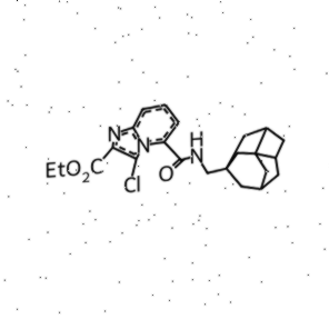 CCOC(=O)c1nc2cccc(C(=O)NCC34CC5CC6CC(C3)C6(C5)C4)n2c1Cl